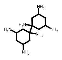 NC1CC(N)CC(N)(C2(N)CC(N)CC(N)C2)C1